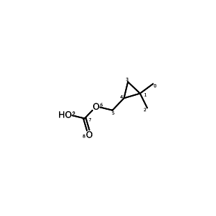 CC1(C)CC1COC(=O)O